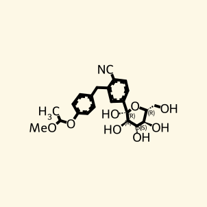 COC(C)Oc1ccc(Cc2cc([C@@]3(O)O[C@H](CO)[C@@H](O)[C@H](O)[C@H]3O)ccc2C#N)cc1